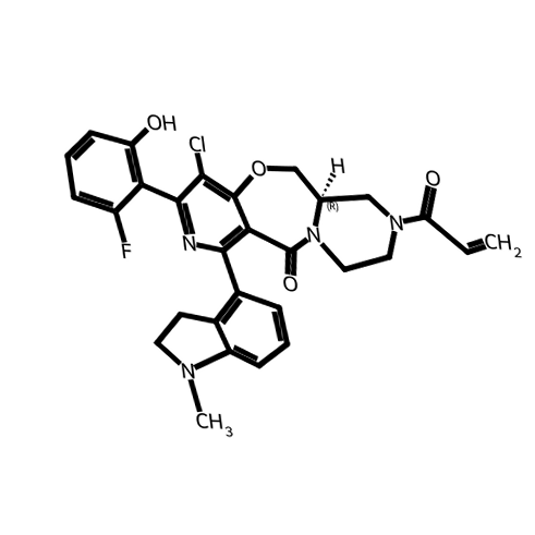 C=CC(=O)N1CCN2C(=O)c3c(-c4cccc5c4CCN5C)nc(-c4c(O)cccc4F)c(Cl)c3OC[C@H]2C1